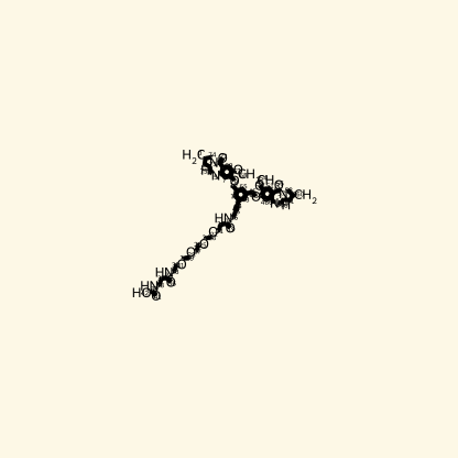 C=C1C[C@H]2C=Nc3cc(OCc4cc(C#CCNC(=O)CCOCCOCCOCCOCCNC(=O)CCNC(=O)O)cc(COc5cc6c(cc5OC)C(=O)N5CC(=C)C[C@H]5C=N6)c4)c(OC)cc3C(=O)N2C1